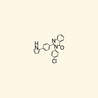 O=c1c2ccccc2nc(-c2ccc(-c3ccc[nH]3)cc2)n1-c1ccc(Cl)cc1